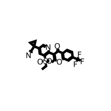 CCS(=O)(=O)c1cc(C2(C#N)CC2)cnc1-c1c(C)oc2cc(C(F)(F)F)ccc2c1=O